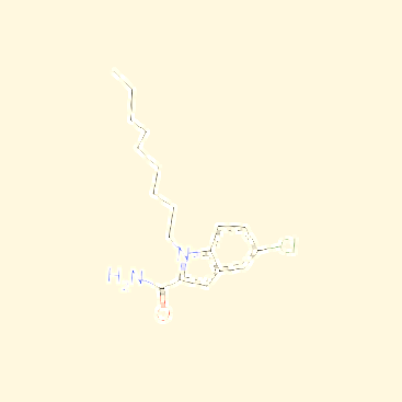 CCCCCCCCCn1c(C(N)=O)cc2cc(Cl)ccc21